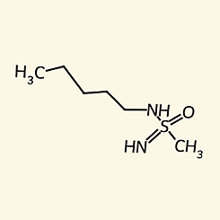 CCCCCNS(C)(=N)=O